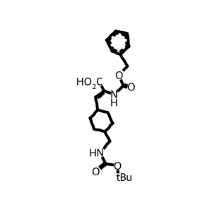 CC(C)(C)OC(=O)NCC1CCC(C=C(NC(=O)OCc2ccccc2)C(=O)O)CC1